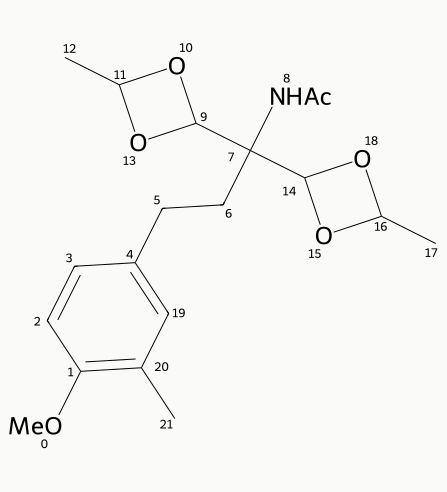 COc1ccc(CCC(NC(C)=O)(C2OC(C)O2)C2OC(C)O2)cc1C